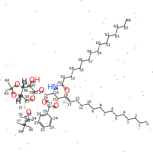 CCCCCCCCCCCCC/C=C/C(OC(=O)c1ccccc1)C(CO[C@H]1O[C@H](CO[Si](C)(C)C(C)(C)C)[C@@H]2OC(C)(C)O[C@@H]2[C@H]1O)NC(=O)CCCCCCCCCCCCCCC